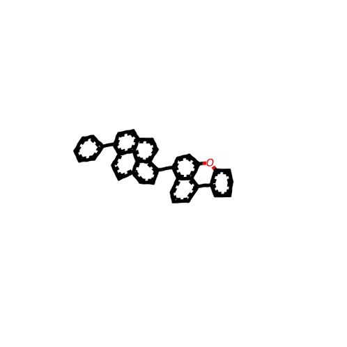 c1ccc(-c2ccc3ccc4c(-c5ccc6c7c(cccc57)-c5ccccc5O6)ccc5ccc2c3c54)cc1